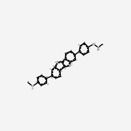 CNOc1ccc(-c2ccc3c(c2)sc2c4ccc(-c5ccc(OC)cc5)cc4sc32)cc1